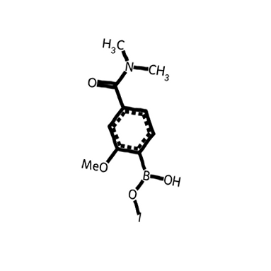 COc1cc(C(=O)N(C)C)ccc1B(O)OI